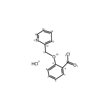 Cl.O=C(Cl)c1ccccc1OCc1ccccn1